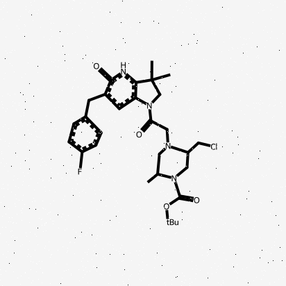 CC1CN(CC(=O)N2CC(C)(C)c3[nH]c(=O)c(Cc4ccc(F)cc4)cc32)C(CCl)CN1C(=O)OC(C)(C)C